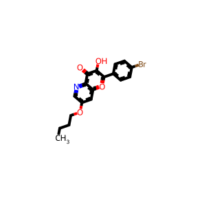 CCCCOc1cnc2c(=O)c(O)c(-c3ccc(Br)cc3)oc2c1